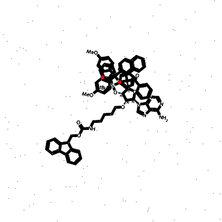 COc1ccc(C(OC(C(=O)c2ccccc2)(C(=O)c2ccccc2)[C@H]2O[C@@H](n3cnc4c(N)ncnc43)[C@H](OCCCCCNC(=O)OCC3c4ccccc4-c4ccccc43)[C@@H]2O[Si](c2ccccc2)(c2ccccc2)C(C)(C)C)(c2ccccc2)c2ccc(OC)cc2)cc1